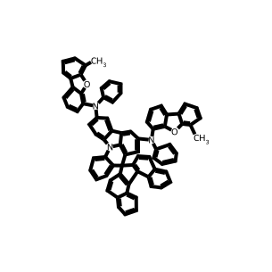 Cc1cccc2c1oc1c(N(c3ccccc3)c3ccc4c(c3)c3cc(N(c5ccccc5)c5cccc6c5oc5c(C)cccc56)cc5c3n4-c3ccccc3C53c4ccc5ccccc5c4-c4c3ccc3ccccc43)cccc12